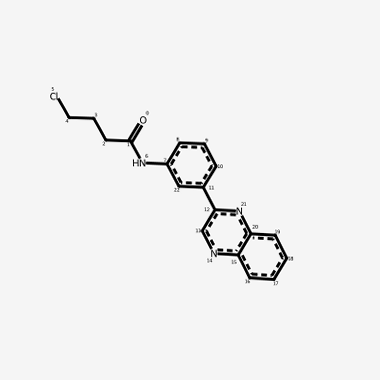 O=C(CCCCl)Nc1cccc(-c2cnc3ccccc3n2)c1